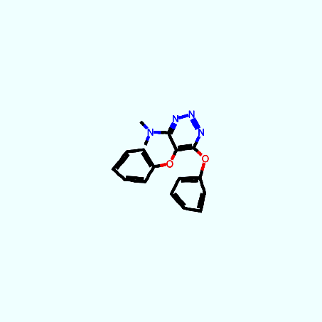 CN(C)c1nnnc(Oc2ccccc2)c1Oc1ccccc1